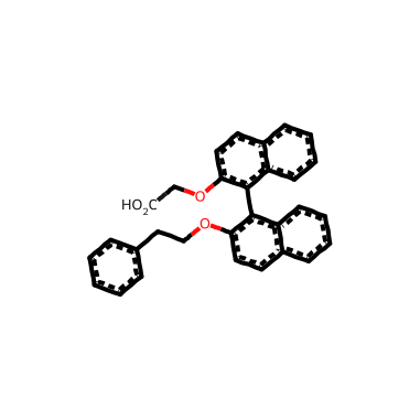 O=C(O)COc1ccc2ccccc2c1-c1c(OCCc2ccccc2)ccc2ccccc12